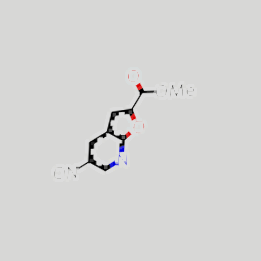 COC(=O)c1cc2cc(N=O)cnc2o1